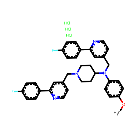 COc1ccc(N(Cc2ccnc(-c3ccc(F)cc3)c2)C2CCN(Cc3ccnc(-c4ccc(F)cc4)c3)CC2)cc1.Cl.Cl.Cl